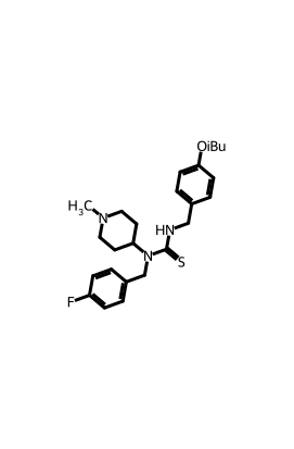 CC(C)COc1ccc(CNC(=S)N(Cc2ccc(F)cc2)C2CCN(C)CC2)cc1